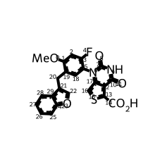 COc1cc(F)c(-n2c(=O)[nH]c(=O)c3c(C(=O)O)scc32)cc1Cc1coc2ccccc12